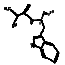 CC(O)C(=O)N[C@@H](Cc1c[nH]c2ccccc12)C(=O)O